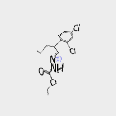 CCCC(/C=N/NC(=O)OCC)c1ccc(Cl)cc1Cl